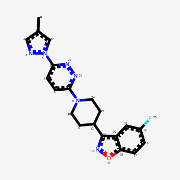 Cc1cnn(-c2ccc(N3CCC(c4noc5ccc(F)cc45)CC3)nn2)c1